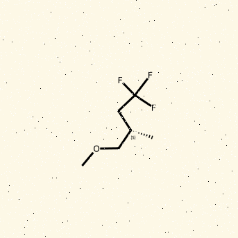 COC[C@@H](C)CC(F)(F)F